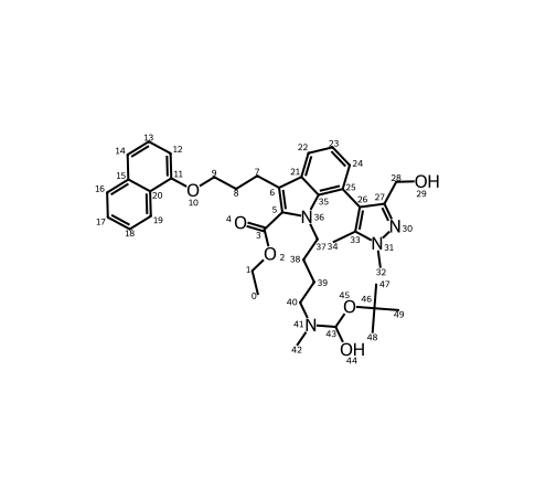 CCOC(=O)c1c(CCCOc2cccc3ccccc23)c2cccc(-c3c(CO)nn(C)c3C)c2n1CCCCN(C)C(O)OC(C)(C)C